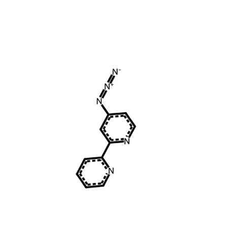 [N-]=[N+]=Nc1ccnc(-c2ccccn2)c1